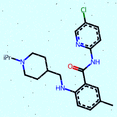 Cc1ccc(NCC2CCN(C(C)C)CC2)c(C(=O)Nc2ccc(Cl)cn2)c1